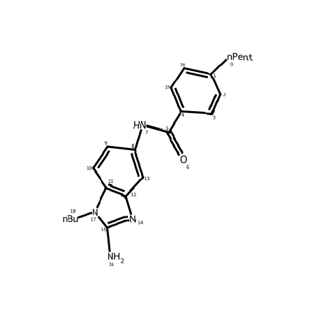 CCCCCc1ccc(C(=O)Nc2ccc3c(c2)nc(N)n3CCCC)cc1